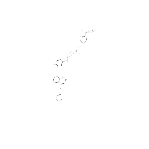 CNC(=O)c1ccc(CCC(=O)NCC(=O)N(C)c2ccc(Cl)c(COc3cccc4c(NCc5ccccn5)cc(C)nc34)c2Cl)cn1